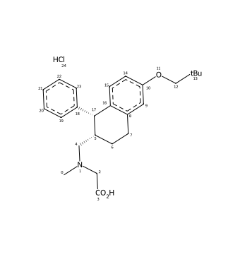 CN(CC(=O)O)C[C@H]1CCc2cc(OCC(C)(C)C)ccc2[C@H]1c1ccccc1.Cl